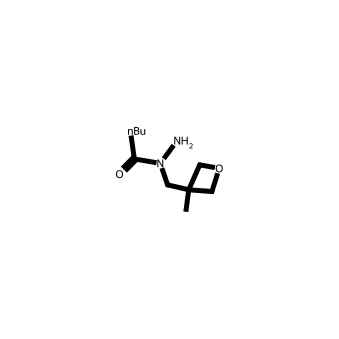 CCCCC(=O)N(N)CC1(C)COC1